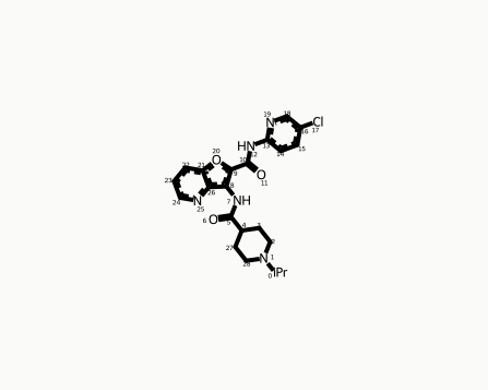 CC(C)N1CCC(C(=O)Nc2c(C(=O)Nc3ccc(Cl)cn3)oc3cccnc23)CC1